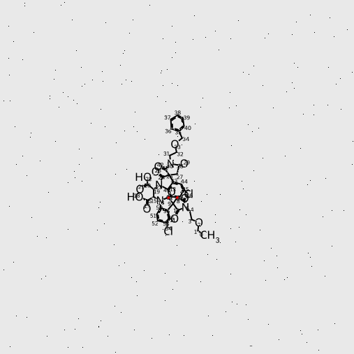 CCOCCN1C(=O)CC2(C1=O)C(=O)N(C(C(=O)O)C(C(=O)O)N1C(=O)C3(CC(=O)N(CCOCc4ccccc4)C3=O)c3cc(Cl)ccc31)c1ccc(Cl)cc12